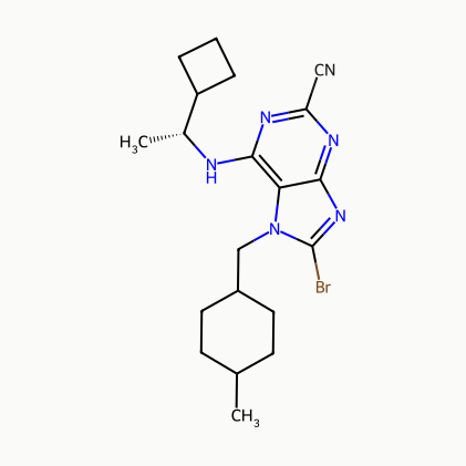 CC1CCC(Cn2c(Br)nc3nc(C#N)nc(N[C@H](C)C4CCC4)c32)CC1